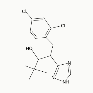 CC(C)(C)C(O)C(Cc1ccc(Cl)cc1Cl)c1nc[nH]n1